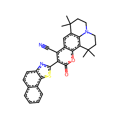 CC1(C)CCN2CCC(C)(C)c3c2c1cc1c(C#N)c(-c2nc4ccc5ccccc5c4s2)c(=O)oc31